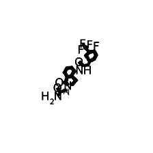 C[C@H](C(N)=O)n1ccc2c(NC(=O)Cc3ccc(F)c(C(F)(F)F)c3)cccc2c1=O